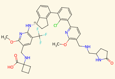 COc1nc(-c2cccc(-c3cccc4c3CC[C@@H]4Nc3nc(OC)c(CNC4(C(=O)O)CCC4)cc3C(F)(F)F)c2Cl)ccc1CNCC1CCC(=O)N1